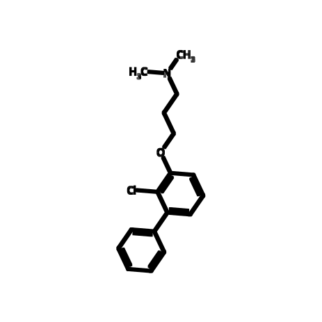 CN(C)CCCOc1cccc(-c2ccccc2)c1Cl